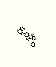 O=C1N2[C@@H](CC[C@H]2c2ccccc2)OC12CCN(c1ncnc3ccnn13)CC2F